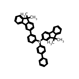 CC1(C)c2ccccc2-c2cc(-c3cccc(N(c4ccc(-c5ccccc5)cc4)c4ccc5c(c4)C(C)(C)c4ccccc4-5)c3)ccc21